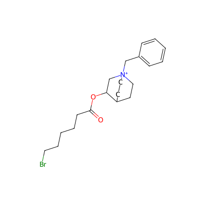 O=C(CCCCCBr)OC1C[N+]2(Cc3ccccc3)CCC1CC2